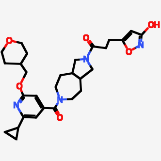 O=C(CCc1cc(O)no1)N1CC2CCN(C(=O)c3cc(OCC4CCOCC4)nc(C4CC4)c3)CCC2C1